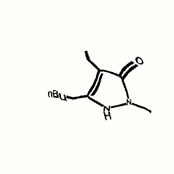 CCCCc1[nH]n(C)c(=O)c1C